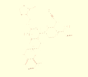 C=CC(O)N1CCN(C2NC(OCC3CCCN3C)NC3C[C@]4(CCc5cccc(Cl)c5O4)CCC32)CC1CC#N